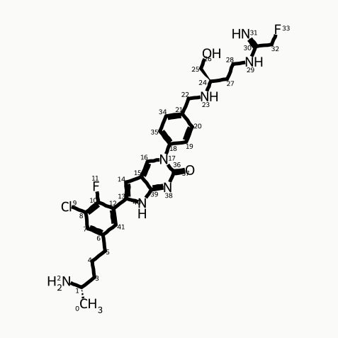 C[C@H](N)CCCc1cc(Cl)c(F)c(-c2cc3cn(-c4ccc(CN[C@@H](CO)CCNC(=N)CF)cc4)c(=O)nc3[nH]2)c1